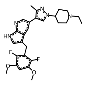 CCN1CCC(n2cc(-c3cnc4[nH]cc(Cc5c(F)c(OC)cc(OC)c5F)c4c3)c(C)n2)CC1